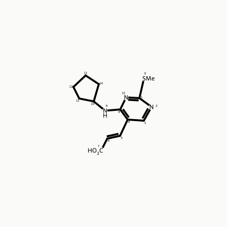 CSc1ncc(C=CC(=O)O)c(NC2CCCC2)n1